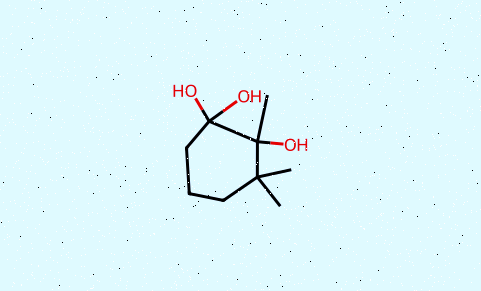 CC1(C)CCCC(O)(O)C1(C)O